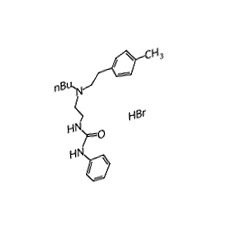 Br.CCCCN(CCNC(=O)Nc1ccccc1)CCc1ccc(C)cc1